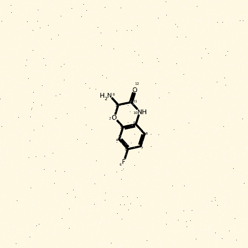 NC1Oc2cc(F)ccc2NC1=O